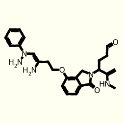 C=C(NC)C(CCC=O)N1Cc2c(OCC/C(N)=C/N(N)c3ccccc3)cccc2C1=O